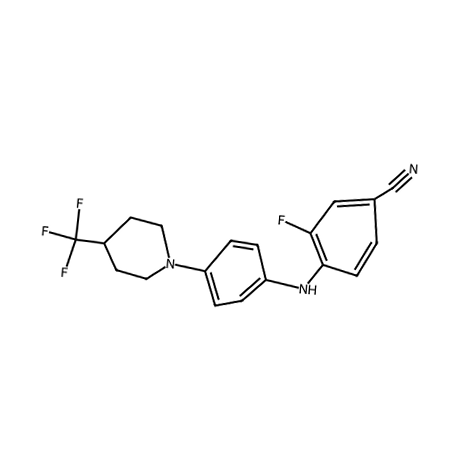 N#Cc1ccc(Nc2ccc(N3CCC(C(F)(F)F)CC3)cc2)c(F)c1